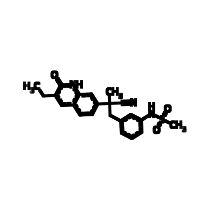 CCc1cc2ccc(C(C)(C#N)Cc3cccc(NS(C)(=O)=O)c3)cc2[nH]c1=O